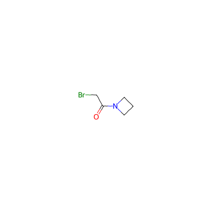 O=C(CBr)N1CCC1